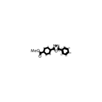 COC(=O)C1CCC(c2nnc(-c3ccccc3)o2)CC1